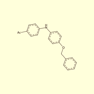 CC(=O)c1ccc(Nc2ccc(OCc3ccccc3)cc2)cc1